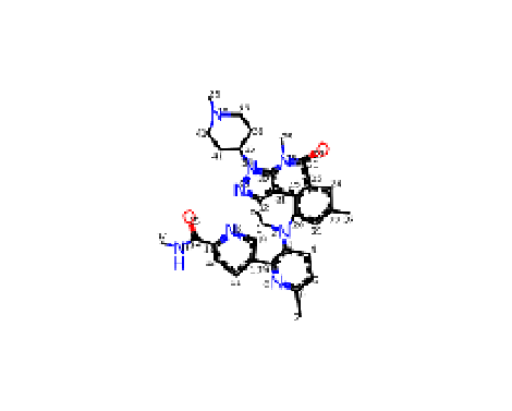 CCN(c1ccc(C)nc1-c1ccc(C(=O)NC)nc1)c1cc(C)cc2c(=O)n(C)c3c(cnn3C3CCN(C)CC3)c12